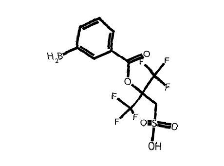 Bc1cccc(C(=O)OC(CS(=O)(=O)O)(C(F)(F)F)C(F)(F)F)c1